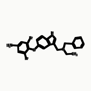 CCN(Cc1ccccc1)Cc1c[nH]c2ccc(Oc3c(Br)cc(N)cc3Br)cc12